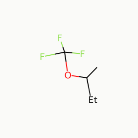 CCC(C)OC(F)(F)F